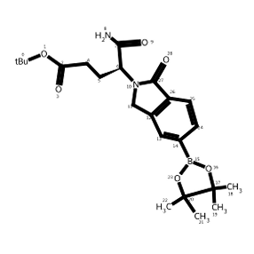 CC(C)(C)OC(=O)CC[C@@H](C(N)=O)N1Cc2cc(B3OC(C)(C)C(C)(C)O3)ccc2C1=O